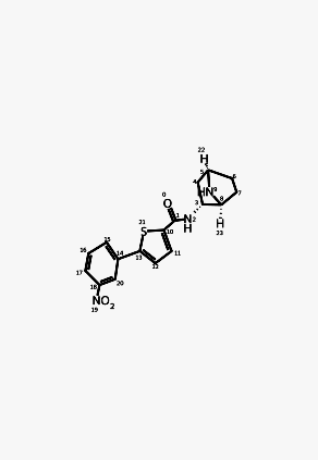 O=C(N[C@@H]1C[C@H]2CC[C@@H]1N2)c1ccc(-c2cccc([N+](=O)[O-])c2)s1